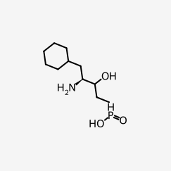 N[C@@H](CC1CCCCC1)C(O)CC[PH](=O)O